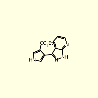 CCOC(=O)c1c[nH]cc1-c1n[nH]c2ncccc12